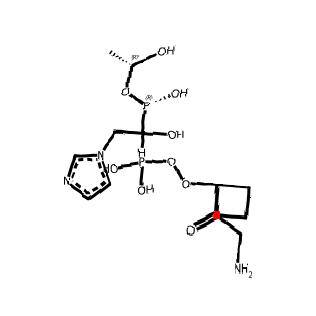 C[C@H](O)O[P@](O)C(O)(Cn1ccnc1)[PH](O)(O)OOC1(C(=O)CN)CCC1